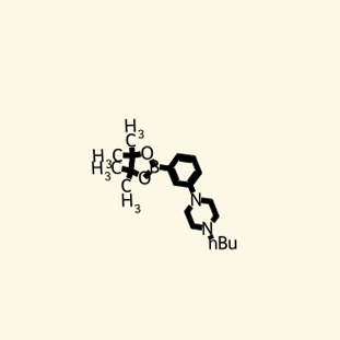 CCCCN1CCN(c2cccc(B3OC(C)(C)C(C)(C)O3)c2)CC1